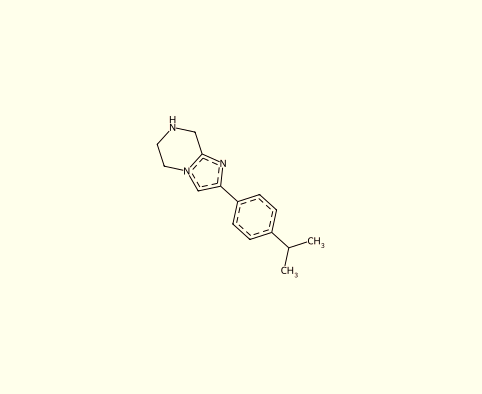 CC(C)c1ccc(-c2cn3c(n2)CNCC3)cc1